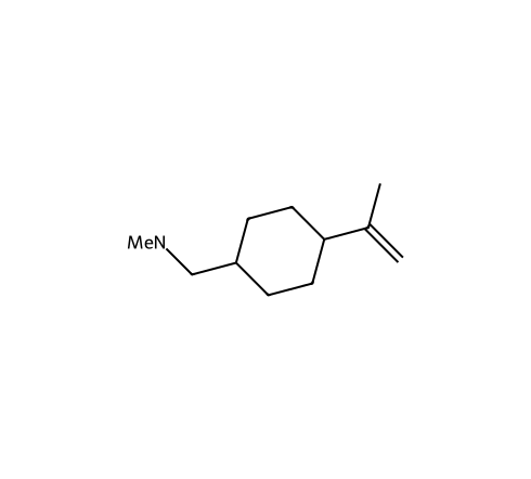 C=C(C)C1CCC(CNC)CC1